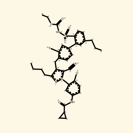 CCCCc1nn(-c2cc(NC(=O)C3CC3)ccc2Cl)c(C#N)c1Cc1ccc(-c2cc(CCC)ccc2S(=O)(=O)NC(=O)OCC)cc1F